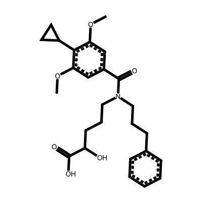 COc1cc(C(=O)N(CCCc2ccccc2)CCCC(O)C(=O)O)cc(OC)c1C1CC1